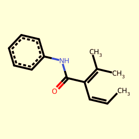 C/C=C\C(C(=O)Nc1ccccc1)=C(C)C